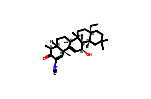 [C-]#[N+]C1=C[C@]2(C)C3=C[C@@H](O)[C@@H]4[C@@H]5CC(C)(C)CC[C@]5(CC)CC[C@@]4(C)[C@]3(C)CC[C@H]2[C@H](C)C1=O